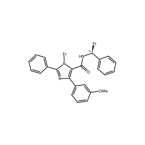 CC[C@H](NC(=O)c1c(-c2cccc(OC)c2)nc(-c2ccccc2)n1CC)c1ccccc1